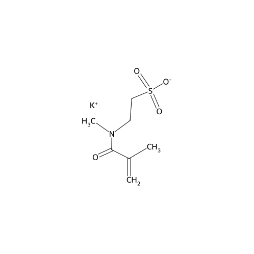 C=C(C)C(=O)N(C)CCS(=O)(=O)[O-].[K+]